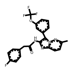 Cc1ccc2nc(NC(=O)Cc3ccc(F)cc3)c(-c3cccc(OC(F)(F)F)c3)n2n1